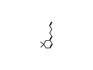 C=CCC/C=C1/C=CCC(C)(C)C1